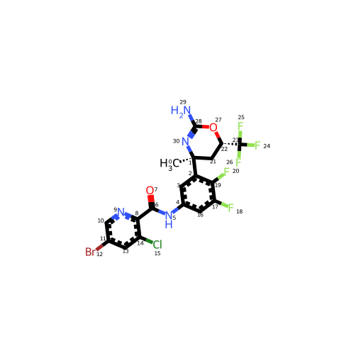 C[C@@]1(c2cc(NC(=O)c3ncc(Br)cc3Cl)cc(F)c2F)C[C@@H](C(F)(F)F)OC(N)=N1